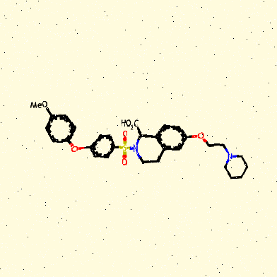 COc1ccc(Oc2ccc(S(=O)(=O)N3CCc4cc(OCCN5CCCCC5)ccc4C3C(=O)O)cc2)cc1